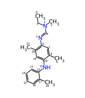 CCN(C)C=Nc1cc(C)c(Nc2ccccc2C)cc1C